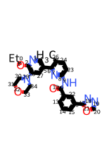 CCOc1ncc(-c2nc(NC(=O)c3cccc(-c4nnco4)c3)ccc2C)cc1N1CCOCC1